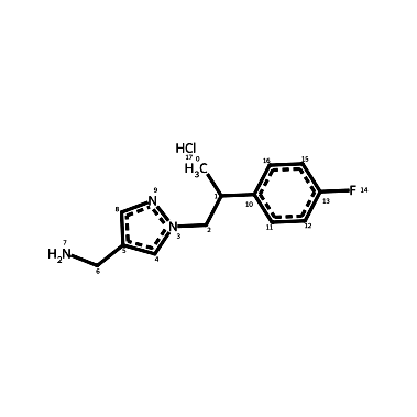 CC(Cn1cc(CN)cn1)c1ccc(F)cc1.Cl